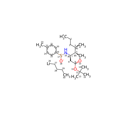 CCC[C@@H](C)[C@@H](C)[C@@H](CC(=O)OC(C)(C)C)N[S+]([O-])c1ccc(C)cc1.[Li][CH2]CCC